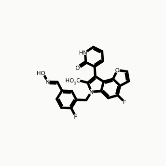 O=C(O)c1c(-c2ccc[nH]c2=O)c2c3occc3c(F)cc2n1Cc1cc(/C=N/O)ccc1F